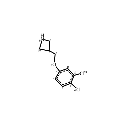 Clc1ccc(OCC2CNC2)cc1Cl